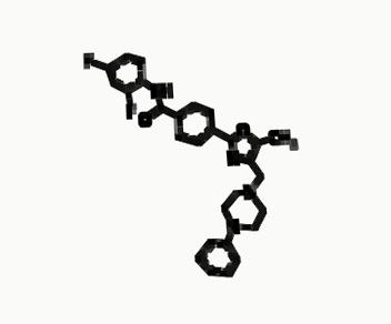 Cc1oc(-c2ccc(C(=O)Nc3ccc(F)cc3F)cc2)nc1CN1CCN(c2ccccc2)CC1